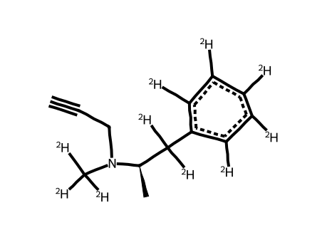 [2H]c1c([2H])c([2H])c(C([2H])([2H])[C@@H](C)N(CC#C)C([2H])([2H])[2H])c([2H])c1[2H]